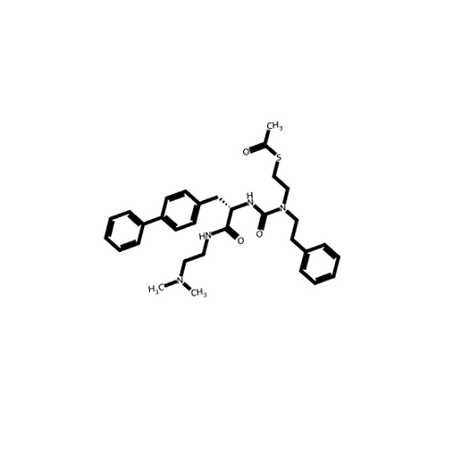 CC(=O)SCCN(CCc1ccccc1)C(=O)N[C@@H](Cc1ccc(-c2ccccc2)cc1)C(=O)NCCN(C)C